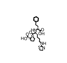 O=C(O)[C@H](CCc1ccccc1)N[C@@H](CCCCNC1=NCCS1)C(=O)N1CCC[C@H]1C(=O)O